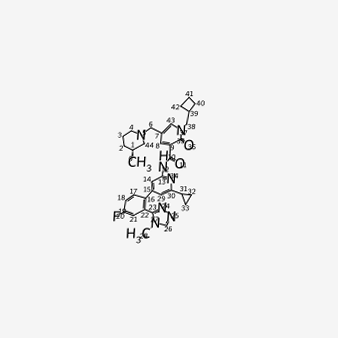 C[C@H]1CCCN(Cc2cc(C(=O)Nc3cc(-c4ccc(F)cc4-c4nncn4C)cc(C4CC4)n3)c(=O)n(CC3CCC3)c2)C1